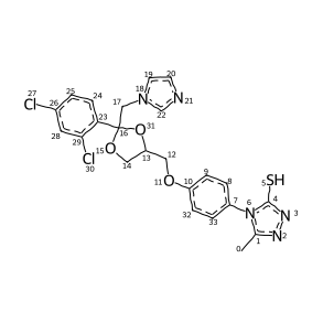 Cc1nnc(S)n1-c1ccc(OCC2COC(Cn3ccnc3)(c3ccc(Cl)cc3Cl)O2)cc1